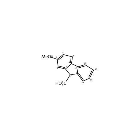 COc1ccc2c(c1)C(C(=O)O)c1ccccc1-2